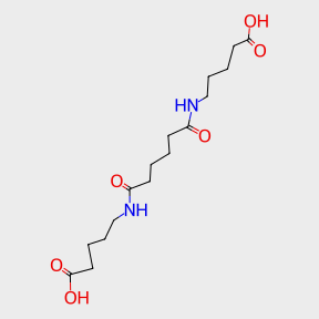 O=C(O)CCCCNC(=O)CCCCC(=O)NCCCCC(=O)O